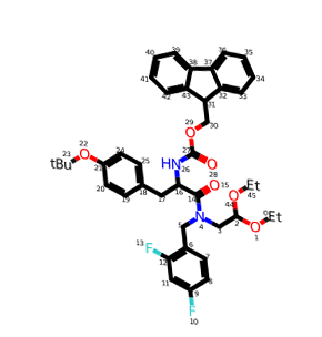 CCOC(CN(Cc1ccc(F)cc1F)C(=O)C(Cc1ccc(OC(C)(C)C)cc1)NC(=O)OCC1c2ccccc2-c2ccccc21)OCC